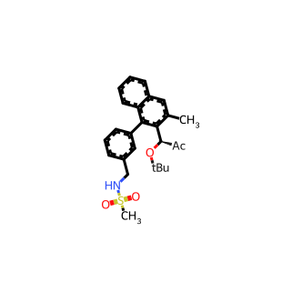 CC(=O)[C@@H](OC(C)(C)C)c1c(C)cc2ccccc2c1-c1cccc(CNS(C)(=O)=O)c1